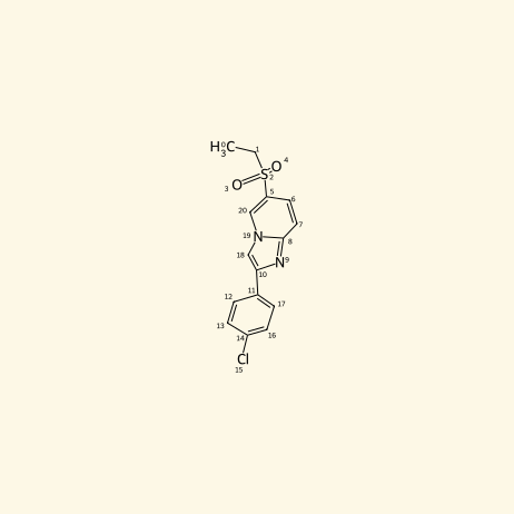 CCS(=O)(=O)c1ccc2nc(-c3ccc(Cl)cc3)cn2c1